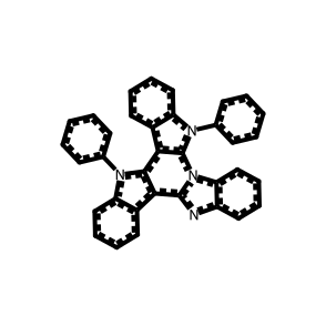 c1ccc(-n2c3ccccc3c3c2c2c4ccccc4n(-c4ccccc4)c2n2c4ccccc4nc32)cc1